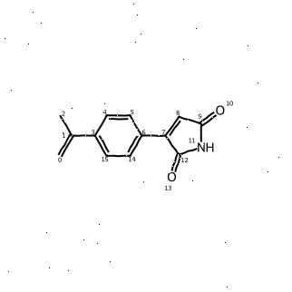 C=C(C)c1ccc(C2=CC(=O)NC2=O)cc1